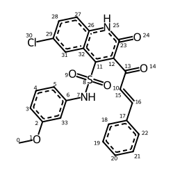 COc1cccc(NS(=O)(=O)c2c(C(=O)C=Cc3ccccc3)c(=O)[nH]c3ccc(Cl)cc23)c1